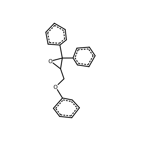 c1ccc(OCC2OC2(c2ccccc2)c2ccccc2)cc1